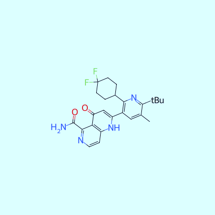 Cc1cc(-c2cc(=O)c3c(C(N)=O)nccc3[nH]2)c(C2CCC(F)(F)CC2)nc1C(C)(C)C